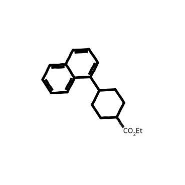 CCOC(=O)C1CCC(c2cccc3ccccc23)CC1